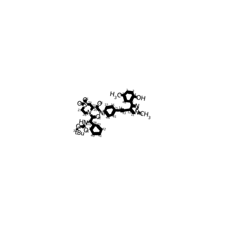 Cc1ccc(O)c(-c2nn(C)cc2C#Cc2ccc(NC(=O)[C@H]3CS(=O)(=O)CCN3C(=O)[C@H](NC(=O)OC(C)(C)C)c3ccccc3)cc2)c1